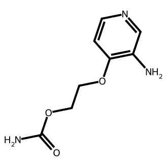 NC(=O)OCCOc1ccncc1N